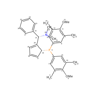 COc1c(C)cc(P(c2cc(C)c(OC)c(C)c2)[C@@H]2C=CC=C2[C@H](c2ccccc2)N(C)C)cc1C